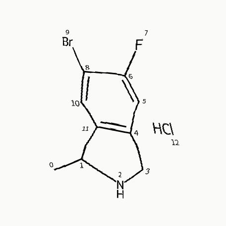 CC1NCc2cc(F)c(Br)cc21.Cl